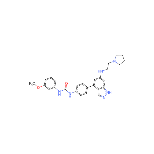 O=C(Nc1ccc(-c2cc(NCCN3CCCC3)cc3[nH]ncc23)cc1)Nc1cccc(OC(F)(F)F)c1